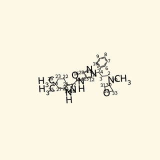 CN(CCC(c1ccccc1)n1cc(NC(=O)c2n[nH]c3c2CCC(C)(C)C3)cn1)C1COC1